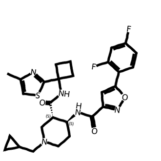 Cc1csc(C2(NC(=O)[C@H]3CN(CC4CC4)CC[C@@H]3NC(=O)c3cc(-c4ccc(F)cc4F)on3)CCC2)n1